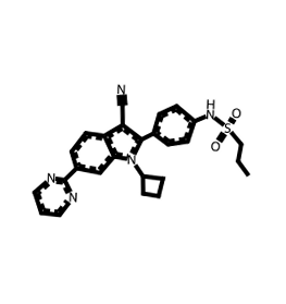 CCCS(=O)(=O)Nc1ccc(-c2c(C#N)c3ccc(-c4ncccn4)cc3n2C2CCC2)cc1